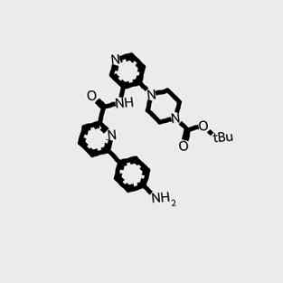 CC(C)(C)OC(=O)N1CCN(c2ccncc2NC(=O)c2cccc(-c3ccc(N)cc3)n2)CC1